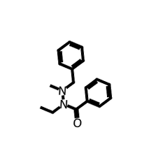 CCN(C(=O)c1ccccc1)N(C)Cc1ccccc1